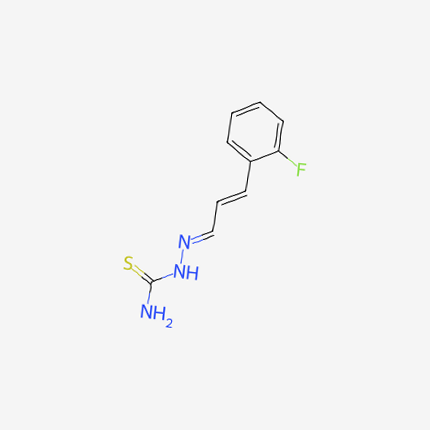 NC(=S)NN=CC=Cc1ccccc1F